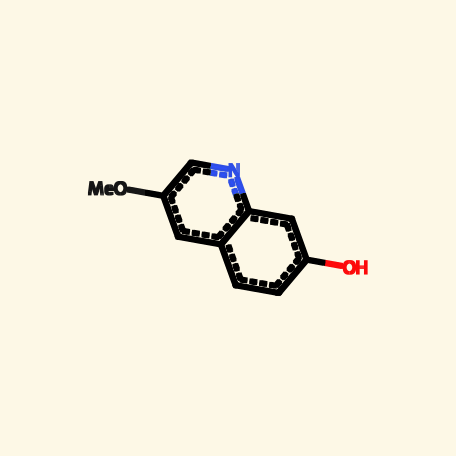 COc1cnc2cc(O)ccc2c1